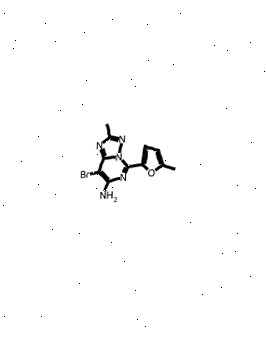 Cc1nc2c(Br)c(N)nc(-c3ccc(C)o3)n2n1